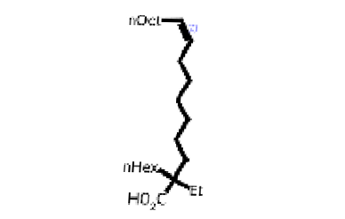 CCCCCCCC/C=C\CCCCCCC(CC)(CCCCCC)C(=O)O